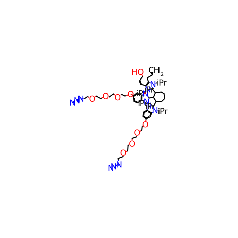 C=CCC1=C(/C=C\CO)N(C(C)C)C(C2CCCCC(C3N(C(C)C)c4ccc(OCCOCCOCCOCCN=[N+]=[N-])cc4N3C(C)C)C2C2N(C(C)C)c3ccc(OCCOCCOCCOCCN=[N+]=[N-])cc3N2C(C)C)N1C(C)C